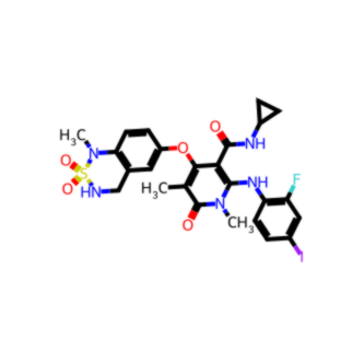 Cc1c(Oc2ccc3c(c2)CNS(=O)(=O)N3C)c(C(=O)NC2CC2)c(Nc2ccc(I)cc2F)n(C)c1=O